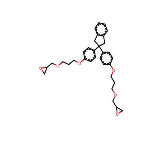 c1ccc2c(c1)CC(c1ccc(OCCCOCC3CO3)cc1)(c1ccc(OCCCOCC3CO3)cc1)C2